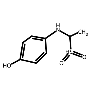 CC(Nc1ccc(O)cc1)[SH](=O)=O